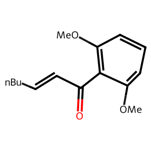 CCCC/C=C/C(=O)c1c(OC)cccc1OC